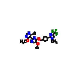 COc1ncnc(C2CC2)c1-c1ncc(OC2CC2)c(OCc2ccc(-c3nc(C(F)(F)F)cn3C)cc2)n1